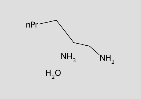 CCCCCCN.N.O